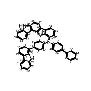 c1ccc(-c2ccc(N(c3ccc(-c4cccc5c4oc4ccccc45)cc3)c3cccc4c3sc3c4ccc4[nH]c5ccccc5c43)cc2)cc1